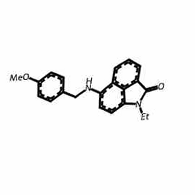 CCN1C(=O)c2cccc3c(NCc4ccc(OC)cc4)ccc1c23